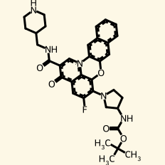 CC(C)(C)OC(=O)NC1CCN(c2c(F)cc3c(=O)c(C(=O)NCC4CCNCC4)cn4c3c2Oc2cc3ccccc3cc2-4)C1